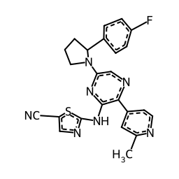 Cc1cc(-c2ncc(N3CCCC3c3ccc(F)cc3)nc2Nc2ncc(C#N)s2)ccn1